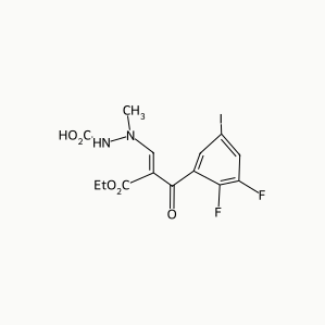 CCOC(=O)C(=CN(C)NC(=O)O)C(=O)c1cc(I)cc(F)c1F